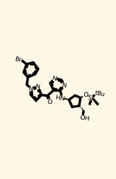 CC(C)(C)[Si](C)(C)O[C@H]1C[C@H](Nc2ncncc2C(=O)c2ccn(Cc3cccc(Br)c3)n2)C[C@H]1CO